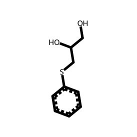 OCC(O)CSc1ccccc1